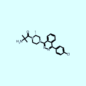 C[C@@H]1CN(c2nnc(-c3ccc(Cl)cc3)c3ccccc23)CCN1C(=O)C(C)(C)N